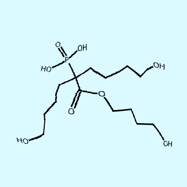 O=C(OCCCCO)C(CCCCO)(CCCCO)P(=O)(O)O